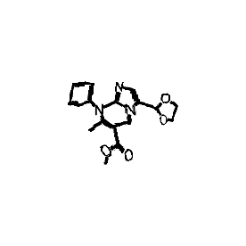 COC(=O)C1=C(C)N(c2ccccc2)c2ncc(C3OCCO3)n2C1